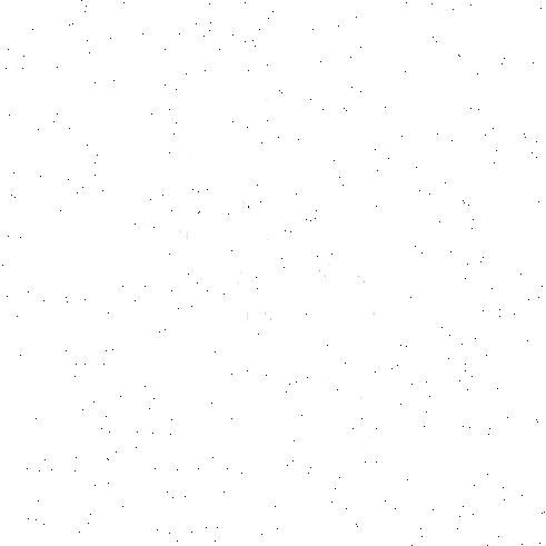 Nc1c2cc(S)ccc2nn1C(CC1CCCCC1)C(=O)Nc1nccs1